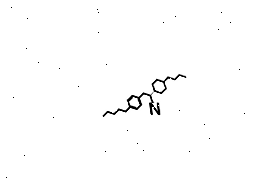 CCCCCc1ccc(CC(C#N)[C@H]2CC[C@H](CCCC)CC2)cc1